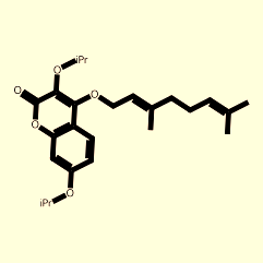 CC(C)=CCC/C(C)=C/COc1c(OC(C)C)c(=O)oc2cc(OC(C)C)ccc12